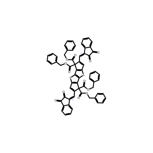 O=C1C(=O)c2ccccc2/C1=C/C1=Cc2sc3c4c(sc3c2C1(C(=O)OCc1ccccc1)C(=O)OCc1ccccc1)C=C(/C=C1\C(=O)C(=O)c2ccccc21)C4(C(=O)OCc1ccccc1)C(=O)OCc1ccccc1